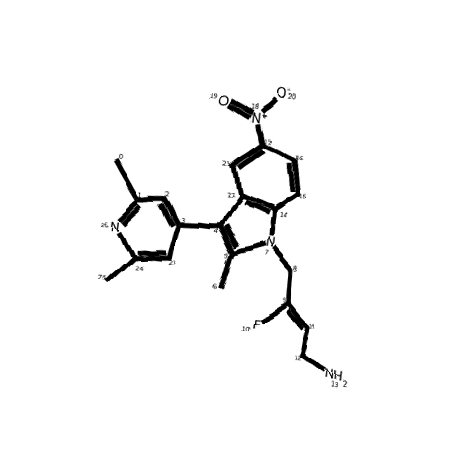 Cc1cc(-c2c(C)n(C/C(F)=C/CN)c3ccc([N+](=O)[O-])cc23)cc(C)n1